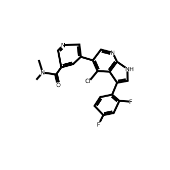 CN(C)C(=O)c1cncc(-c2cnc3[nH]cc(-c4ccc(F)cc4F)c3c2Cl)c1